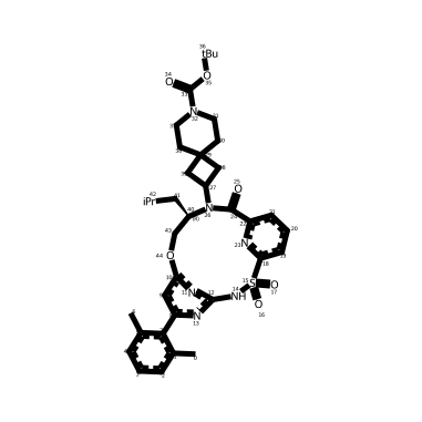 Cc1cccc(C)c1-c1cc2nc(n1)NS(=O)(=O)c1cccc(n1)C(=O)N(C1CC3(CCN(C(=O)OC(C)(C)C)CC3)C1)[C@H](CC(C)C)CO2